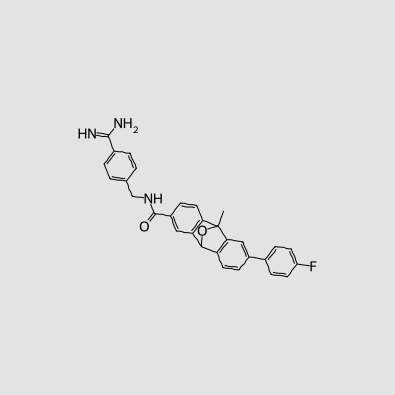 CC12OC(c3cc(C(=O)NCc4ccc(C(=N)N)cc4)ccc31)c1ccc(-c3ccc(F)cc3)cc12